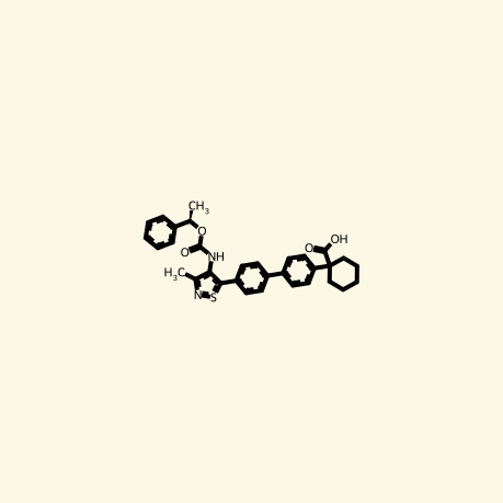 Cc1nsc(-c2ccc(-c3ccc(C4(C(=O)O)CCCCC4)cc3)cc2)c1NC(=O)O[C@H](C)c1ccccc1